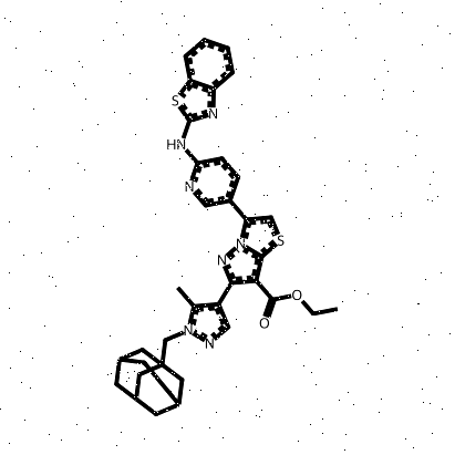 CCOC(=O)c1c(-c2cnn(CC34CC5CC(CC(C5)C3)C4)c2C)nn2c(-c3ccc(Nc4nc5ccccc5s4)nc3)csc12